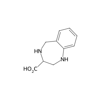 O=C(O)C1CNc2ccccc2CN1